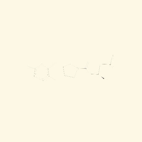 CC(C)C(=O)O[C@H](OC(=O)N1C[C@@H](Cc2cc(F)ccc2F)C[C@H]1C(=O)O)C(C)C